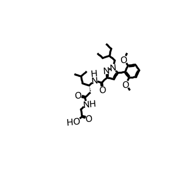 CCC(CC)Cn1nc(C(=O)N[C@H](CC(=O)NCC(=O)O)CC(C)C)cc1-c1c(OC)cccc1OC